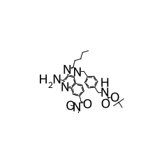 CCCCc1nc2c(N)nc3cc(C(=O)N(C)OC)ccc3c2n1Cc1ccc(CNC(=O)OC(C)(C)C)cc1